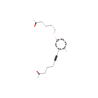 COC(=O)CCCC#Cc1cc(OC[C@@H](C)CCC(N)=O)ccc1Cl